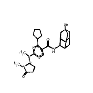 CN1C(=O)CC[C@@H]1N(C)c1ncc(C(=O)NC2C3CC4CC2CC(O)(C4)C3)c(C2CCCC2)n1